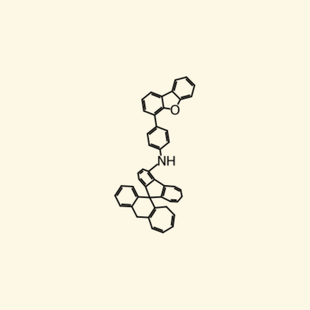 C1=CCC2=C(C=C1)Cc1ccccc1C21C2=C(C=CCC=C2)c2c(Nc3ccc(-c4cccc5c4oc4ccccc45)cc3)cccc21